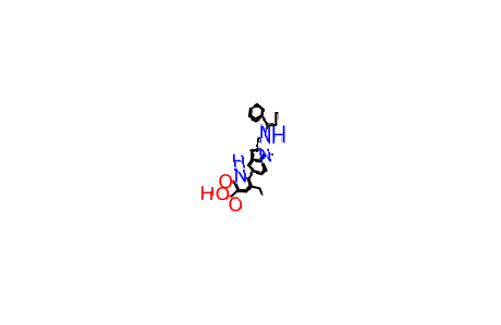 CCc1cc(C(=O)O)c(=O)[nH]c1-c1ccc2c(c1)cc(CNC(CC)c1ccccc1)n2C